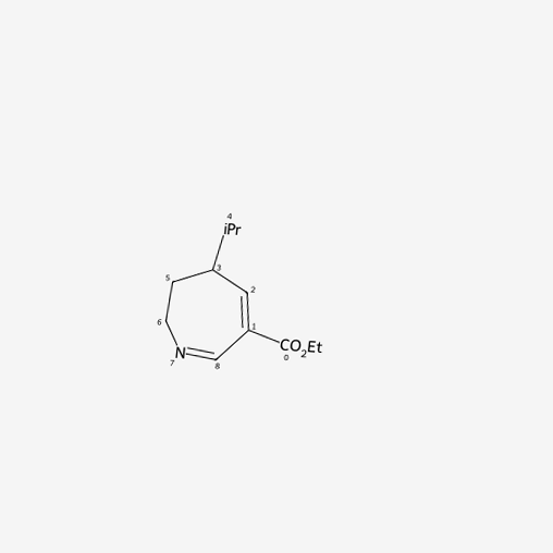 CCOC(=O)C1=CC(C(C)C)CCN=C1